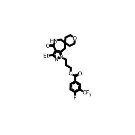 CCc1nn(CCCOC(=O)c2ccc(F)c(C(F)(F)F)c2)c2c1C(=O)NCC1(CCOCC1)C2